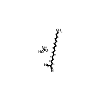 CCCCCCCCCCCCCCCCC(C#N)C#N.O=C(O)O